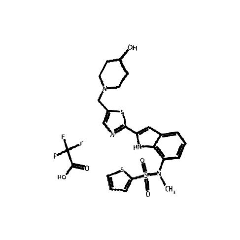 CN(c1cccc2cc(-c3ncc(CN4CCC(O)CC4)s3)[nH]c12)S(=O)(=O)c1cccs1.O=C(O)C(F)(F)F